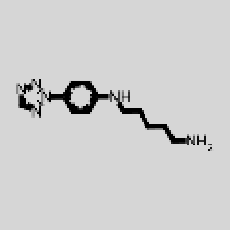 NCCCCCNc1ccc(-n2ncnn2)cc1